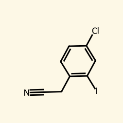 N#CCc1ccc(Cl)cc1I